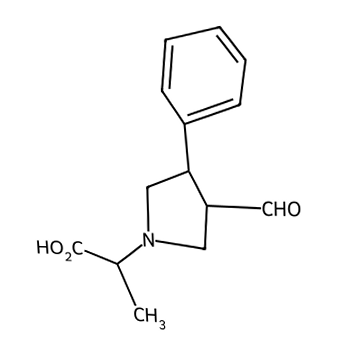 CC(C(=O)O)N1CC(C=O)C(c2ccccc2)C1